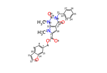 Cn1c(C(=O)OCc2ccc3ccoc3c2)cc2c(=O)n(Cc3ccccc3)c(=O)n(C)c21